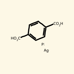 O=C(O)c1ccc(C(=O)O)cc1.[Ag].[P]